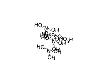 CCCCCCCCCCCCOS(=O)(=O)O.O=S(=O)(O)O.OCCN(CCO)CCO.OCCN(CCO)CCO.OCCN(CCO)CCO